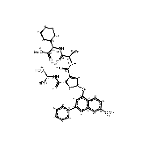 CCC[C@H](NC(=O)[C@H]1C[C@H](Oc2cc(-c3ccccc3)nc3cc(OC)ccc23)C=C1C(=O)NC(C(=O)NC(C(=O)OC)C1CCCCC1)C(C)C)C(=O)O